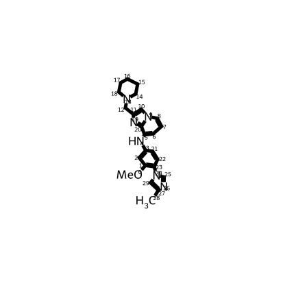 COc1cc(Nc2cccn3cc(CN4CCCCC4)nc23)ccc1-n1cnc(C)c1